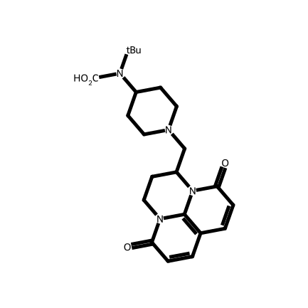 CC(C)(C)N(C(=O)O)C1CCN(CC2CCn3c(=O)ccc4ccc(=O)n2c43)CC1